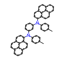 Cc1ccc(N(c2cccc(N(c3ccc(C)cc3)c3ccc4ccc5cccc6ccc3c4c56)c2)c2ccc3ccc4cccc5ccc2c3c45)cc1